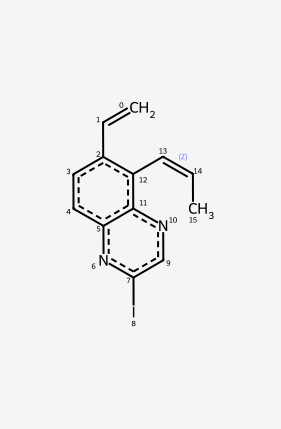 C=Cc1ccc2nc(I)cnc2c1/C=C\C